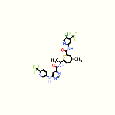 CC1C=C(C(=O)Nc2cc(C(F)(F)F)c(Cl)cn2)SC(C(C)NC(=O)c2cc(Nc3ccc(C(F)(F)F)nc3)ncn2)=CC1